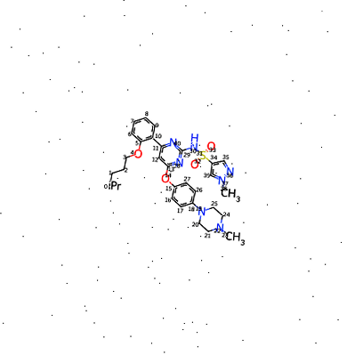 CC(C)CCCOc1ccccc1-c1cc(Oc2ccc(N3CCN(C)CC3)cc2)nc(NS(=O)(=O)c2cnn(C)c2)n1